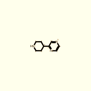 c1cnc(C2CCNCC2)cn1